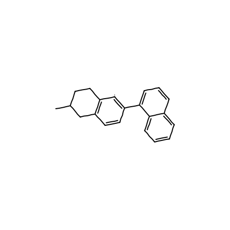 CC1CCc2[c]c(-c3cccc4ccccc34)ccc2C1